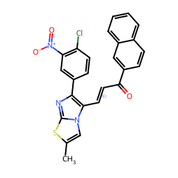 Cc1cn2c(/C=C/C(=O)c3ccc4ccccc4c3)c(-c3ccc(Cl)c([N+](=O)[O-])c3)nc2s1